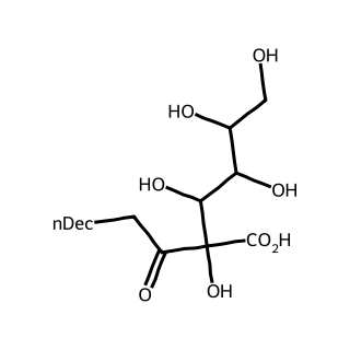 CCCCCCCCCCCC(=O)C(O)(C(=O)O)C(O)C(O)C(O)CO